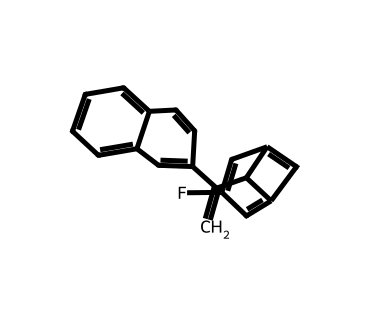 C=C([C]1C2=CC(F)=CC1=C2)c1ccc2ccccc2c1